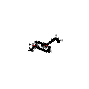 C#Cc1ccc(CNC(=O)[C@@H]2C[C@@H](O)CN2C(=O)[C@@H](NC(=O)N2CCC(N3CCC(c4cnc(N5CCc6[nH]c7nnc(-c8ccccc8O)cc7c6[C@H]5C)nc4)CC3)CC2)C(C)(C)CCc2ncsc2-c2ccc(CNC(=O)[C@@H]3C[C@@H](O)CN3C(=O)[C@@H](NC(=O)[C@H]3CCC4(CC3)C[C@H](N3CCN(c5cnc(N6CCc7[nH]c8nnc(-c9ccccc9O)cc8c7[C@H]6C)nc5)CC3)C4)C(C)(C)C)cc2)c(OC)c1